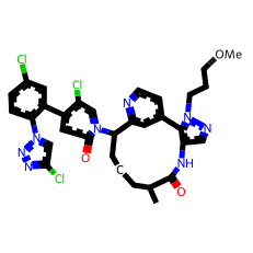 COCCCn1ncc2c1-c1ccnc(c1)C(n1cc(Cl)c(-c3cc(Cl)ccc3-n3cc(Cl)nn3)cc1=O)CCCC(C)C(=O)N2